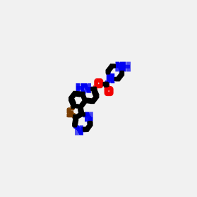 O=C(OC1=CC=c2c(ccc3sc4c(c23)N=CC=NC=4)N1)N1CCNCC1